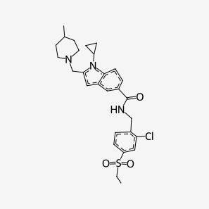 CCS(=O)(=O)c1ccc(CNC(=O)c2ccc3c(c2)cc(CN2CCC(C)CC2)n3C2CC2)c(Cl)c1